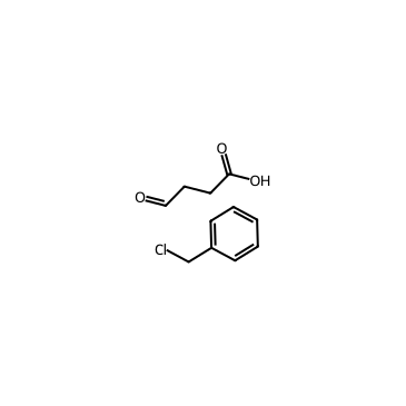 ClCc1ccccc1.O=CCCC(=O)O